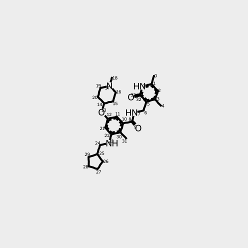 Cc1cc(C)c(CNC(=O)c2cc(OC3CCN(C)CC3)cc(NCC3CCCC3)c2C)c(=O)[nH]1